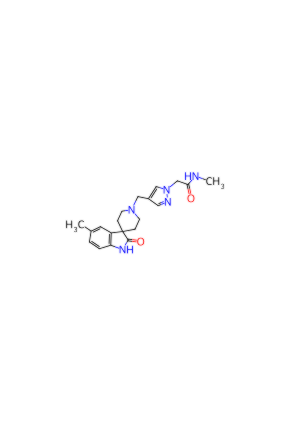 CNC(=O)Cn1cc(CN2CCC3(CC2)C(=O)Nc2ccc(C)cc23)cn1